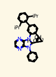 CC(C)c1cccc(C(C)C)c1-c1ccc2c(c1)N1c3nccnc3N(c3ccccc3)C1C1(C)CC21C